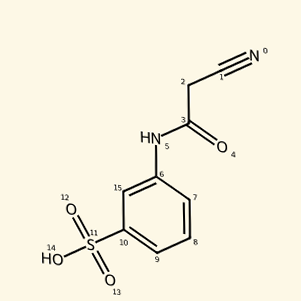 N#CCC(=O)Nc1cccc(S(=O)(=O)O)c1